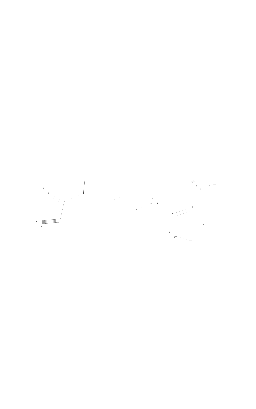 O=[N+]([O-])C1=C(NCCSC(Cl)c2cnsn2)NCC1